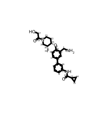 NCc1cc(-c2cccc(NC(=O)C3CC3)c2)ccc1O[C@H]1CCN(C(=O)CO)C[C@H]1F